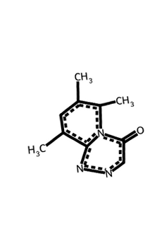 Cc1cc(C)c2nncc(=O)n2c1C